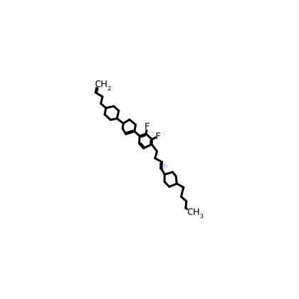 C=CCCC1CCC(C2CC=C(c3ccc(CC/C=C/C4CCC(CCCCC)CC4)c(F)c3F)CC2)CC1